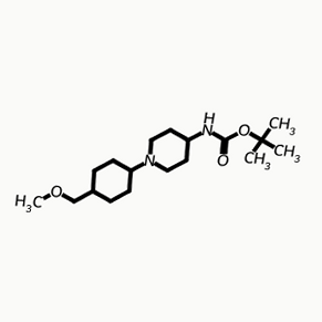 COCC1CCC(N2CCC(NC(=O)OC(C)(C)C)CC2)CC1